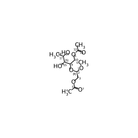 CO[C@@H](COC(C)=O)OC(COC(C)=O)[C@@H](O)C(C)O